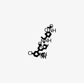 Cc1nc([C@@H]2[C@@H](C)Cc3cc(-c4cc(Cl)ccc4-n4cnnn4)cc(=O)n32)[nH]c1-c1ccc2c(c1)OCC(=O)N2